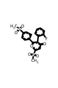 CS(=O)(=O)c1ccc(-c2oc(S(C)(=O)=O)cc(=O)c2-c2ccccc2F)cc1